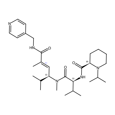 C/C(=C\[C@H](C(C)C)N(C)C(=O)[C@@H](NC(=O)[C@H]1CCCCN1C(C)C)C(C)C)C(=O)NCc1ccncc1